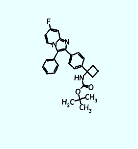 CC(C)(C)OC(=O)NC1(c2ccc(-c3nc4cc(F)ccn4c3-c3ccccc3)cc2)CCC1